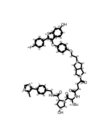 Cc1ncsc1-c1ccc(CNC(=O)[C@@H]2C[C@@H](O)CN2C(=O)C(NC(=O)CCC(=O)N2CC3CN(CCOc4ccc(Oc5c(-c6ccc(F)cc6)sc6cc(O)ccc56)cc4)CC3C2)C(C)(C)C)cc1